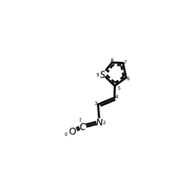 O=C=N/C=C/c1cccs1